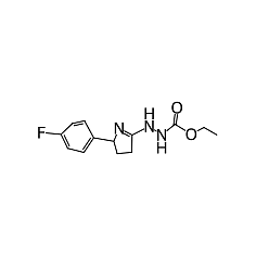 CCOC(=O)NNC1=NC(c2ccc(F)cc2)CC1